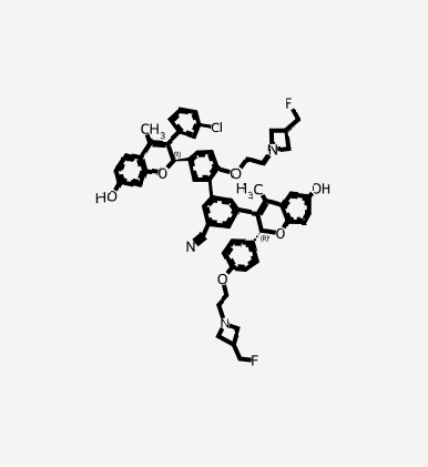 CC1=C(c2cccc(Cl)c2)[C@@H](c2ccc(OCCN3CC(CF)C3)c(-c3cc(C#N)cc(C4=C(C)c5cc(O)ccc5O[C@@H]4c4ccc(OCCN5CC(CF)C5)cc4)c3)c2)Oc2cc(O)ccc21